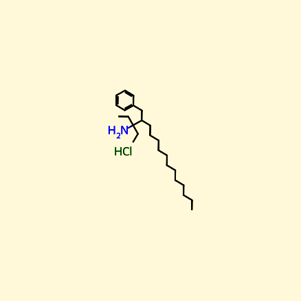 CCCCCCCCCCCCC(Cc1ccccc1)C(N)(CC)CC.Cl